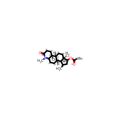 CC1CC(OC(=O)C(C)(C)C)[C@@]2(C)CC[C@@H]3[C@@H](CCC4N(C)C(=O)CC[C@@]43C)[C@H]12